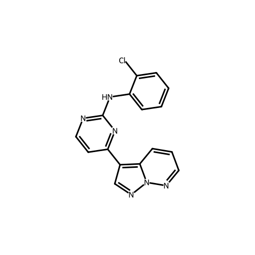 Clc1ccccc1Nc1nccc(-c2cnn3ncccc23)n1